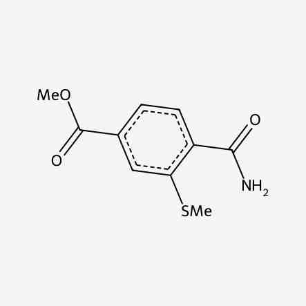 COC(=O)c1ccc(C(N)=O)c(SC)c1